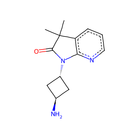 CC1(C)C(=O)N([C@H]2C[C@H](N)C2)c2ncccc21